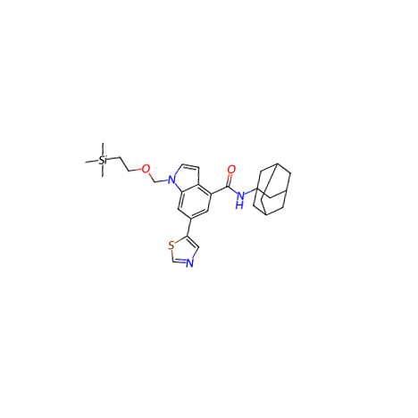 C[Si](C)(C)CCOCn1ccc2c(C(=O)NC34CC5CC(CC(C5)C3)C4)cc(-c3cncs3)cc21